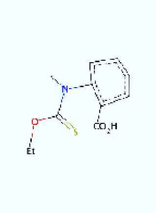 CCOC(=S)N(C)c1ccccc1C(=O)O